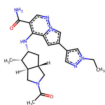 CCn1cc(-c2cc3c(N[C@@H]4C[C@@H]5CN(C(C)=O)C[C@H]5[C@@H]4C)c(C(N)=O)cnn3c2)cn1